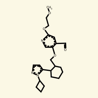 COCCOc1cc(C=O)c(OCC2CCCCC2c2ccnn2C2CCC2)cn1